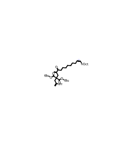 C=C(CCC)CC(CC(=C)C(=O)CCCCCCC/C=C\CCCCCCCC)(C(=O)OC(C)(C)C)C(=O)OC(C)(C)C